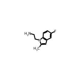 Cc1cc2cc(F)ccc2n1CCN